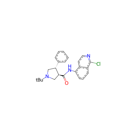 CC(C)(C)N1C[C@H](C(=O)Nc2cccc3c(Cl)nccc23)[C@@H](c2ccccc2)C1